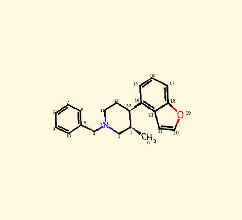 C[C@H]1CN(Cc2ccccc2)CC[C@H]1c1cccc2occc12